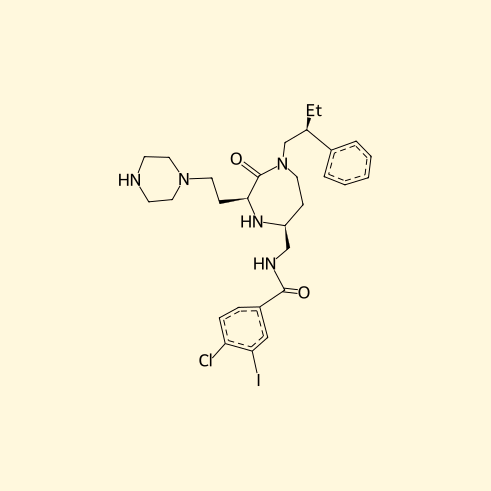 CC[C@H](CN1CC[C@@H](CNC(=O)c2ccc(Cl)c(I)c2)N[C@@H](CCN2CCNCC2)C1=O)c1ccccc1